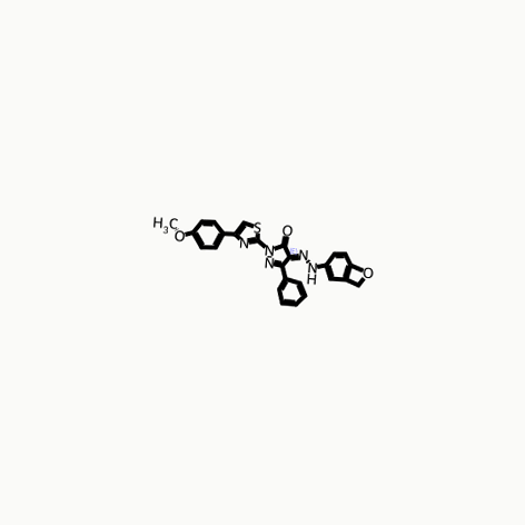 COc1ccc(-c2csc(N3N=C(c4ccccc4)/C(=N\Nc4ccc5c(c4)CO5)C3=O)n2)cc1